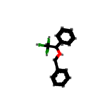 FC(F)(F)C(OCc1ccccc1)c1ccccc1